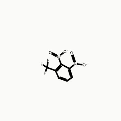 O=[N+]([O-])c1cc[c]c(C(F)(F)F)c1[N+](=O)[O-]